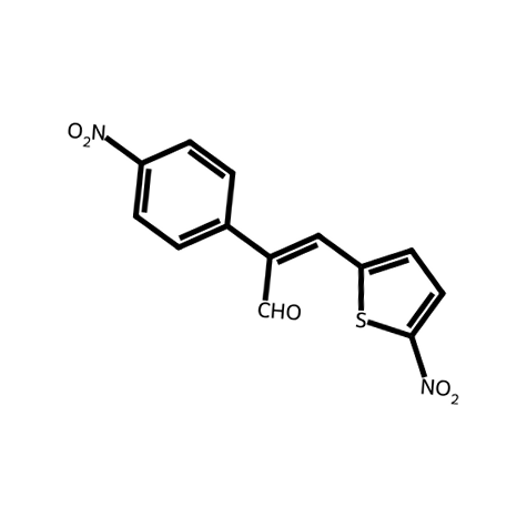 O=CC(=Cc1ccc([N+](=O)[O-])s1)c1ccc([N+](=O)[O-])cc1